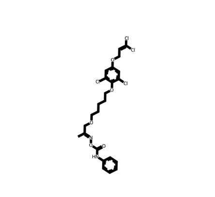 CC(COCCCCCOc1c(Cl)cc(OCC=C(Cl)Cl)cc1Cl)=NOC(=O)Nc1ccccc1